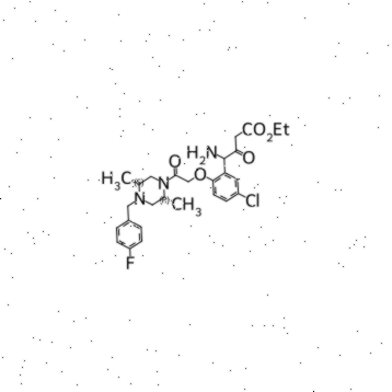 CCOC(=O)CC(=O)C(N)c1cc(Cl)ccc1OCC(=O)N1C[C@H](C)N(Cc2ccc(F)cc2)C[C@H]1C